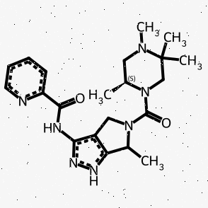 CC1c2[nH]nc(NC(=O)c3ccccn3)c2CN1C(=O)N1CC(C)(C)N(C)C[C@@H]1C